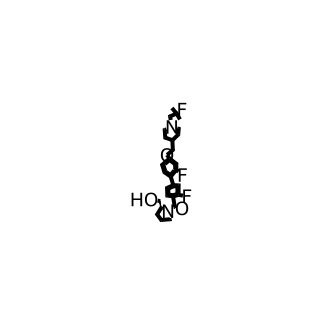 CC(C)(F)CN1CCC(COc2ccc(-c3ccc(C(=O)N4CCC[C@H]4CO)c(F)c3)c(F)c2)CC1